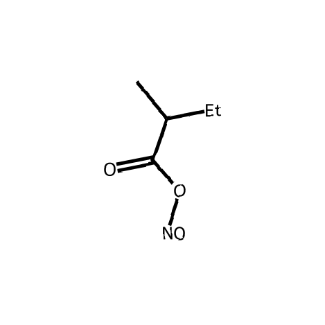 CCC(C)C(=O)ON=O